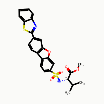 COC(=O)[C@@H](NS(=O)(=O)c1ccc2c(c1)oc1cc(-c3nc4ccccc4s3)ccc12)C(C)C